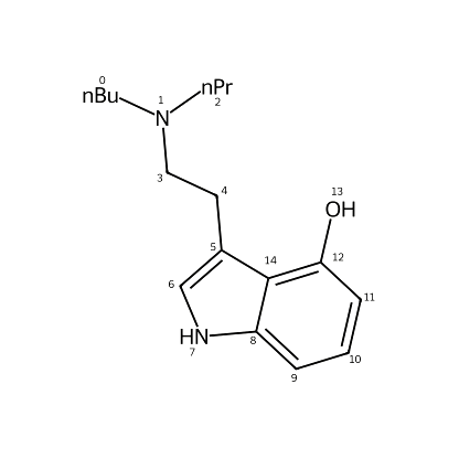 CCCCN(CCC)CCc1c[nH]c2cccc(O)c12